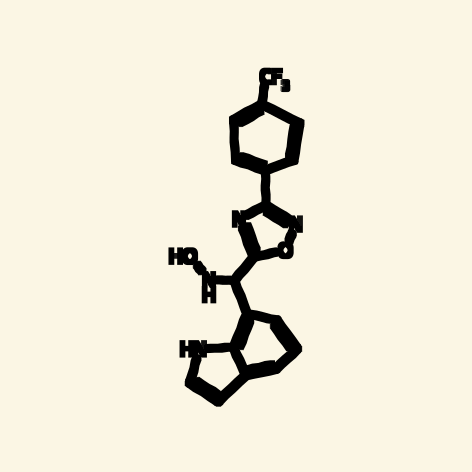 ONC(c1nc(-c2ccc(C(F)(F)F)cc2)no1)c1cccc2cc[nH]c12